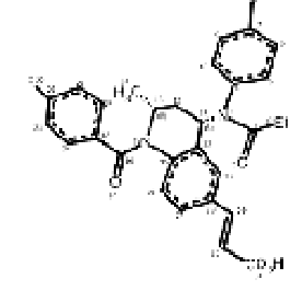 CCC(=O)N(c1ccc(Cl)cc1)[C@H]1C[C@@H](C)N(C(=O)c2ccc(F)cc2)c2ccc(C=CC(=O)O)cc21